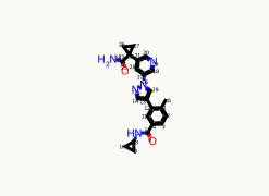 Cc1ccc(C(=O)NC2CC2)cc1-c1cnn(-c2cncc(C3(C(N)=O)CC3)c2)c1